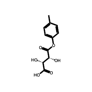 Cc1ccc(OC(=O)[C@H](O)[C@@H](O)C(=O)O)cc1